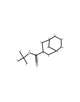 CC(C)(C)OC(=O)C1CC2CCCC(C2)C1